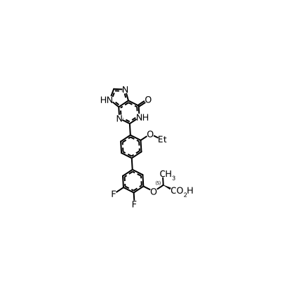 CCOc1cc(-c2cc(F)c(F)c(O[C@@H](C)C(=O)O)c2)ccc1-c1nc2[nH]cnc2c(=O)[nH]1